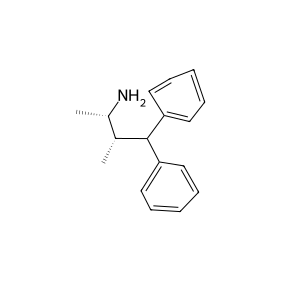 C[C@H](N)[C@@H](C)C(c1ccccc1)c1ccccc1